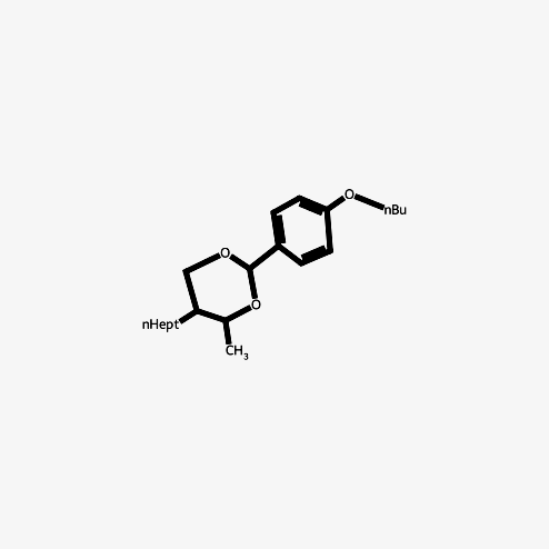 CCCCCCCC1COC(c2ccc(OCCCC)cc2)OC1C